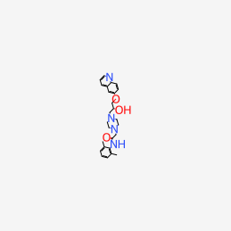 Cc1cccc(C)c1NC(=O)CN1CCN(CC(O)COc2ccc3ncccc3c2)CC1